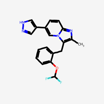 Cc1nc2ccc(-c3cn[nH]c3)cn2c1Cc1ccccc1OC(F)F